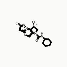 O=C(NC1CCCCC1)N1C[C@@H](C(F)(F)F)c2c1cnc1cc(Cl)nn21